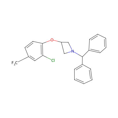 FC(F)(F)c1ccc(OC2CN(C(c3ccccc3)c3ccccc3)C2)c(Cl)c1